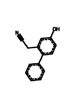 N#CCc1cc(O)ccc1-c1ccccc1